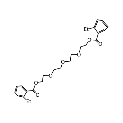 CCc1ccccc1C(=O)OCCOCCOCCOCCOC(=O)c1ccccc1CC